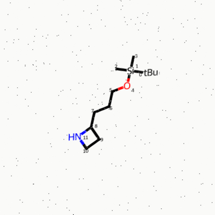 CC(C)(C)[Si](C)(C)OCCCC1CCN1